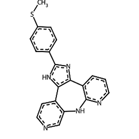 CSc1ccc(-c2nc3c([nH]2)-c2ccncc2Nc2ncccc2-3)cc1